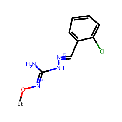 CCO/N=C(\N)N/N=C/c1ccccc1Cl